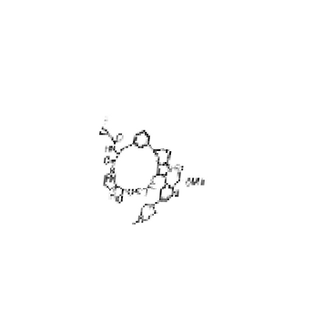 CCn1c(-c2cc(N3CCN(C)CC3)cnc2[C@H](C)OC)c2c3cc(ccc31)-c1cccc(c1)C[C@H](NC(=O)[C@H]1C[C@@H]1C)C(=O)N1CCC[C@H](N1)C(=O)OCC(C)(C)C2